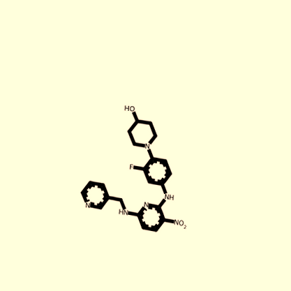 O=[N+]([O-])c1ccc(NCc2cccnc2)nc1Nc1ccc(N2CCC(O)CC2)c(F)c1